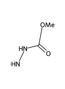 COC(=O)N[NH]